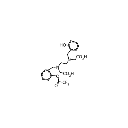 O=C(O)CN(CCN(CC(=O)O)Cc1ccccc1OC(=O)C(F)(F)F)Cc1ccccc1O